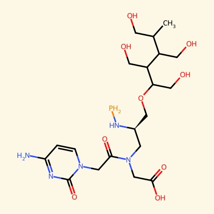 CC(CO)C(CO)C(CO)C(CO)OC[C@@H](CN(CC(=O)O)C(=O)Cn1ccc(N)nc1=O)NP